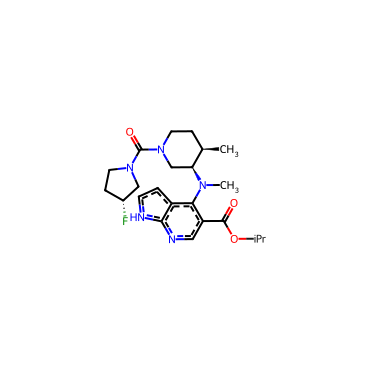 CC(C)OC(=O)c1cnc2[nH]ccc2c1N(C)[C@H]1CN(C(=O)N2CC[C@@H](F)C2)CC[C@H]1C